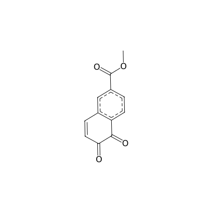 COC(=O)c1ccc2c(c1)C=CC(=O)C2=O